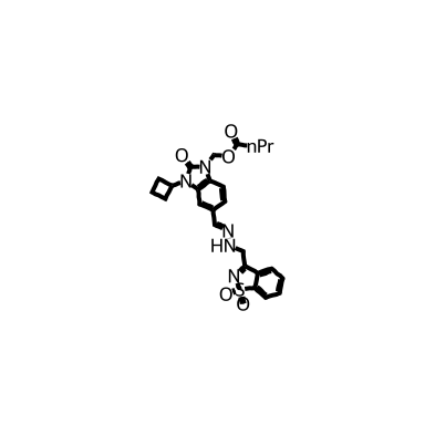 CCCC(=O)OCn1c(=O)n(C2CCC2)c2cc(/C=N/NCC3=NS(=O)(=O)c4ccccc43)ccc21